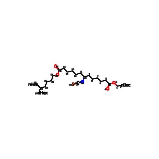 CCCCCCCCCCCOC(=O)CCCCCC(CCCCCC(=O)OCCCCC(CCCCCC)CCCCCC)N=C=S